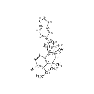 COc1c(F)ccc2c1C(C)(C)C[C@@](O)(C(F)(F)F)[C@@H]2NC(=O)c1ccc2occc2c1